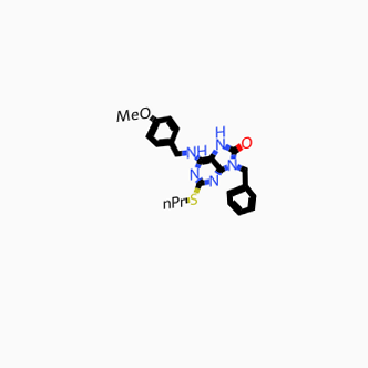 CCCSc1nc(NCc2ccc(OC)cc2)c2[nH]c(=O)n(Cc3ccccc3)c2n1